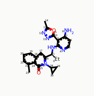 CC[C@H](Nc1nccc(N)c1-c1nnc(C)o1)c1cc2cccc(C)c2c(=O)n1C1CC1